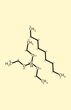 CCCCCCCCC.CCO[SiH](OCC)OCC